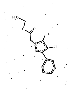 CCOC(=O)Cn1nc(-c2cccnc2)c(Cl)c1C